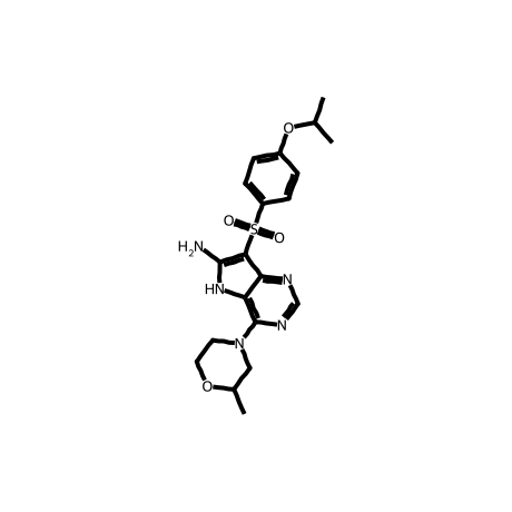 CC(C)Oc1ccc(S(=O)(=O)c2c(N)[nH]c3c(N4CCOC(C)C4)ncnc23)cc1